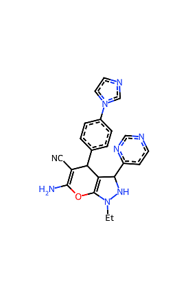 CCN1NC(c2ccncn2)C2=C1OC(N)=C(C#N)C2c1ccc(-n2ccnc2)cc1